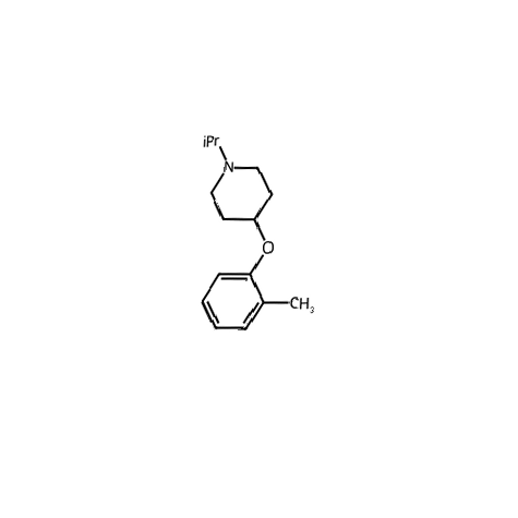 Cc1ccccc1OC1CCN(C(C)C)CC1